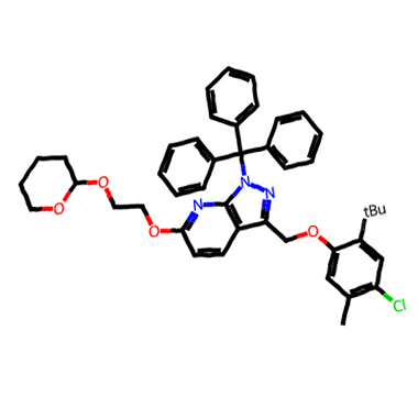 Cc1cc(OCc2nn(C(c3ccccc3)(c3ccccc3)c3ccccc3)c3nc(OCCOC4CCCCO4)ccc23)c(C(C)(C)C)cc1Cl